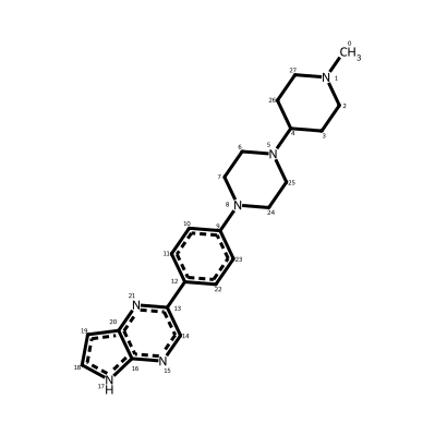 CN1CCC(N2CCN(c3ccc(-c4cnc5[nH]ccc5n4)cc3)CC2)CC1